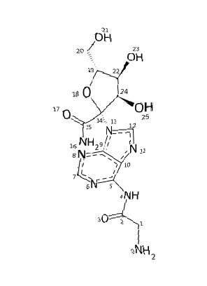 NCC(=O)Nc1ncnc2c1ncn2[C@]1(C(N)=O)O[C@H](CO)[C@@H](O)[C@H]1O